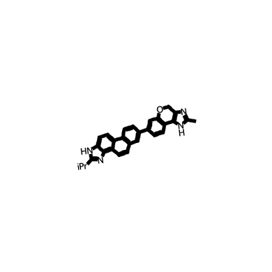 Cc1nc2c([nH]1)-c1ccc(-c3ccc4c(ccc5c4ccc4[nH]c(C(C)C)nc45)c3)cc1OC2